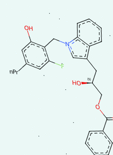 CCCc1cc(O)c(Cn2cc(C[C@H](O)COC(=O)c3ccccc3)c3ccccc32)c(F)c1